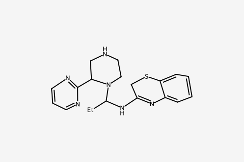 CCC(NC1=Nc2ccccc2SC1)N1CCNCC1c1ncccn1